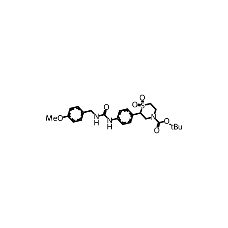 COc1ccc(CNC(=O)Nc2ccc(C3CN(C(=O)OC(C)(C)C)CCS3(=O)=O)cc2)cc1